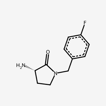 N[C@H]1CCN(Cc2ccc(F)cc2)C1=O